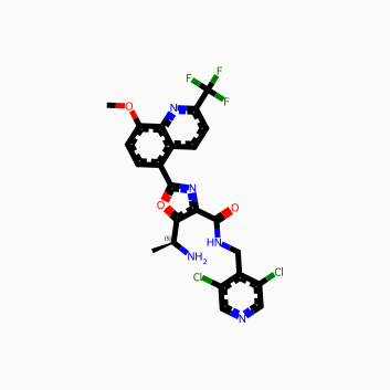 COc1ccc(-c2nc(C(=O)NCc3c(Cl)cncc3Cl)c([C@H](C)N)o2)c2ccc(C(F)(F)F)nc12